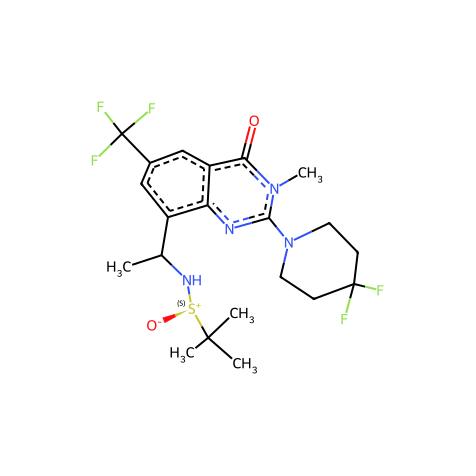 CC(N[S@+]([O-])C(C)(C)C)c1cc(C(F)(F)F)cc2c(=O)n(C)c(N3CCC(F)(F)CC3)nc12